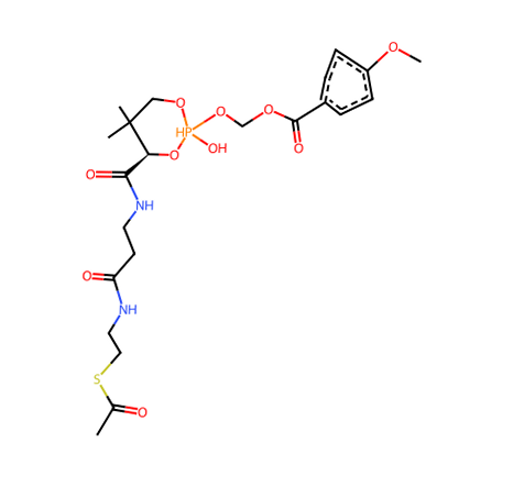 COc1ccc(C(=O)OCO[PH]2(O)OCC(C)(C)[C@H](C(=O)NCCC(=O)NCCSC(C)=O)O2)cc1